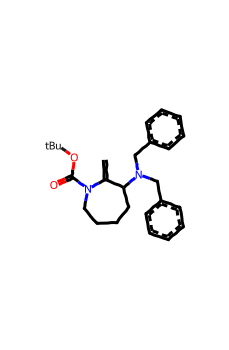 C=C1C(N(Cc2ccccc2)Cc2ccccc2)CCCCN1C(=O)OC(C)(C)C